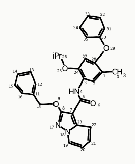 Cc1cc(NC(=O)c2c(OCc3ccccc3)nn3ccccc23)c(OC(C)C)cc1Oc1ccccc1